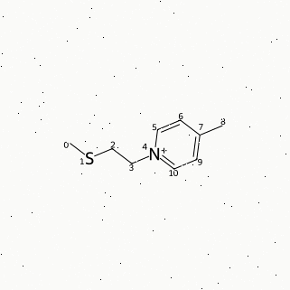 CSCC[n+]1ccc(C)cc1